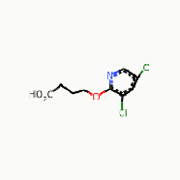 O=C(O)CCCOc1ncc(Cl)cc1Cl